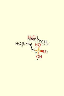 CCCCCC.O.O=C(O)CCP(=O)(O)O